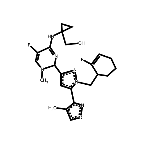 Cc1conc1-c1cc(C2N=C(NC3(CO)CC3)C(F)=CN2C)nn1CC1CCCC=C1F